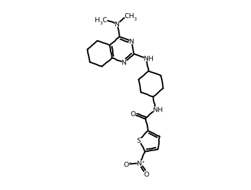 CN(C)c1nc(NC2CCC(NC(=O)c3ccc([N+](=O)[O-])s3)CC2)nc2c1CCCC2